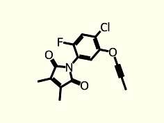 CC#COc1cc(N2C(=O)C(C)=C(C)C2=O)c(F)cc1Cl